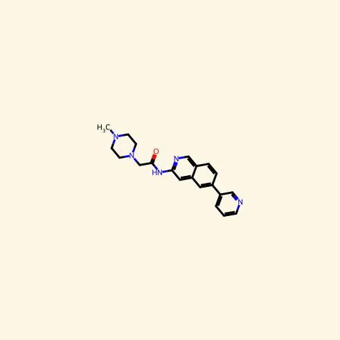 CN1CCN(CC(=O)Nc2cc3cc(-c4cccnc4)ccc3cn2)CC1